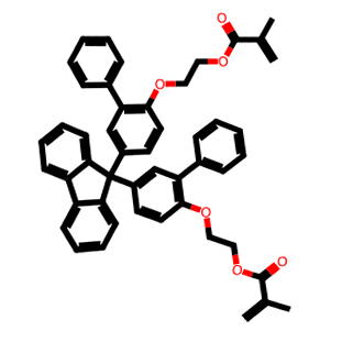 C=C(C)C(=O)OCCOc1ccc(C2(c3ccc(OCCOC(=O)C(=C)C)c(-c4ccccc4)c3)c3ccccc3-c3ccccc32)cc1-c1ccccc1